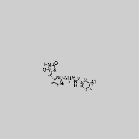 O=C1NC(=O)C(=Cc2ccnc(NCCNCc3cccc(Cl)c3)n2)S1